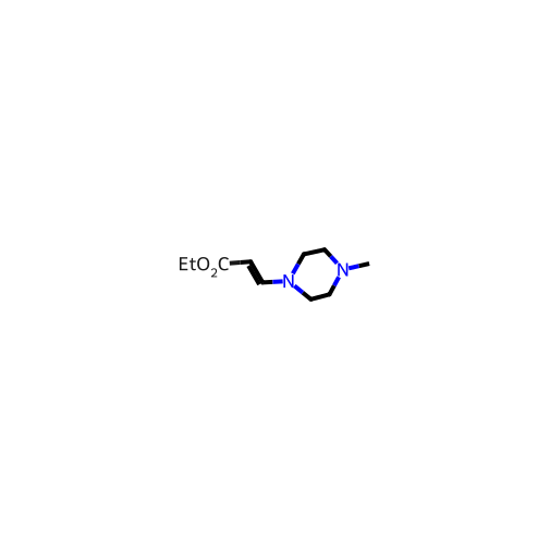 CCOC(=O)/C=C/N1CCN(C)CC1